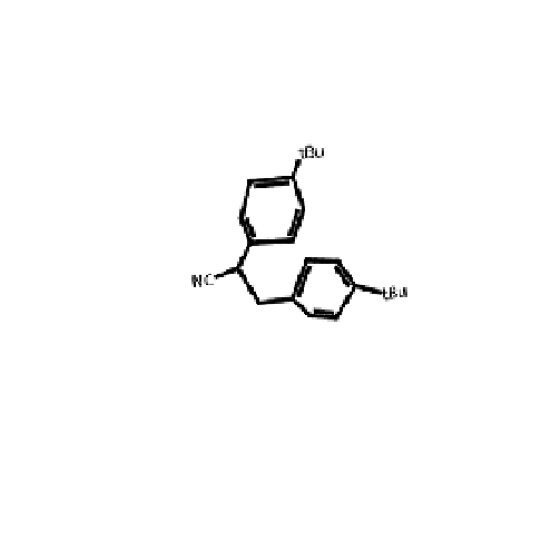 CC(C)(C)c1ccc(CC(C#N)c2ccc(C(C)(C)C)cc2)cc1